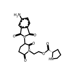 Nc1ccc2c(c1)C(=O)N(C1CCC(=O)N(CCOC(=O)[C@@H]3CCCN3)C1=O)C2=O